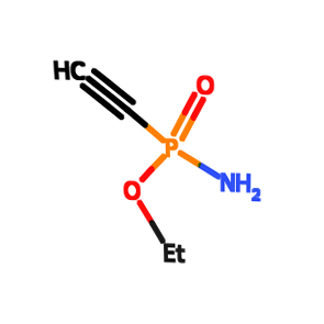 C#CP(N)(=O)OCC